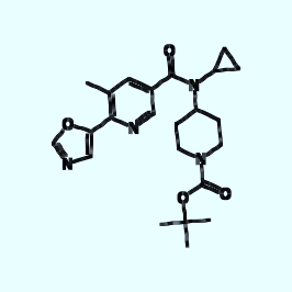 Cc1cc(C(=O)N(C2CC2)C2CCN(C(=O)OC(C)(C)C)CC2)cnc1-c1cnco1